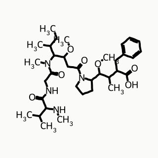 CCC(C)C(C(CC(=O)N1CCCC1C(OC)C(C)C(Cc1ccccc1)C(=O)O)OC)N(C)C(=O)CNC(=O)C(NC)C(C)C